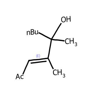 CCCCC(C)(O)/C(C)=C/C(C)=O